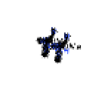 COc1cc2c(N[C@@H]3CCCN(Cc4ccccc4)C3)nc(N3CCCCC3)nc2cc1C#CCCN(C)C.COc1cc2c(N[C@@H]3CCCN(Cc4ccccc4)C3)nc(N3CCCCC3)nc2cc1C#CCCN(C)C